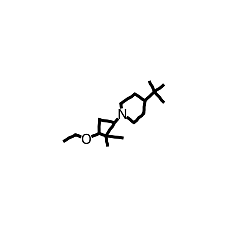 CCOC1CC(N2CCC(C(C)(C)C)CC2)C1(C)C